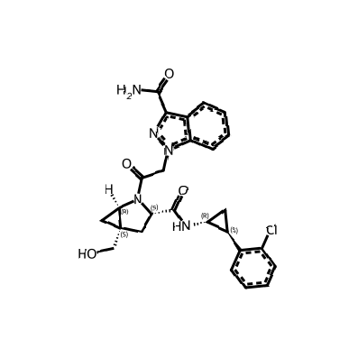 NC(=O)c1nn(CC(=O)N2[C@H](C(=O)N[C@@H]3C[C@H]3c3ccccc3Cl)C[C@@]3(CO)C[C@@H]23)c2ccccc12